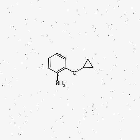 Nc1[c]cccc1OC1CC1